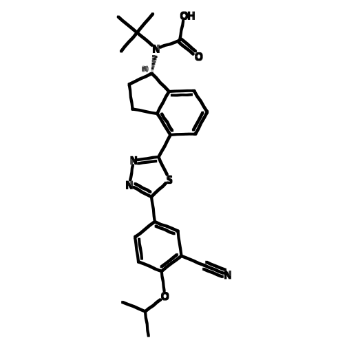 CC(C)Oc1ccc(-c2nnc(-c3cccc4c3CC[C@@H]4N(C(=O)O)C(C)(C)C)s2)cc1C#N